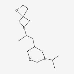 CC(C)N1COCC(CC(C)N2CC3(CCO3)C2)C1